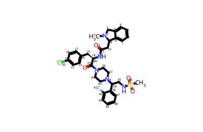 CN1Cc2ccccc2C1CC(=O)N[C@H](Cc1ccc(Cl)cc1)C(=O)N1CCN(C(CNS(C)(=O)=O)c2ccccc2F)CC1